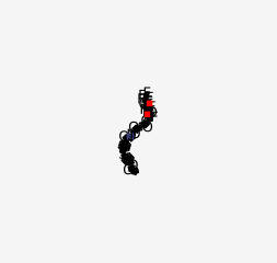 C=C(C)C(=O)Oc1ccc(Sc2ccc(C(=O)/C(C)=N/OC(=O)CCC(=O)OCC(F)(F)OC(F)(F)C(F)(F)OC(F)(F)C(F)(F)F)cc2)cc1